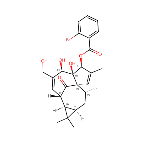 CC1=C[C@]23C(=O)[C@@H](C=C(CO)[C@@H](O)[C@]2(O)[C@H]1OC(=O)c1ccccc1Br)[C@H]1[C@@H](C[C@H]3C)C1(C)C